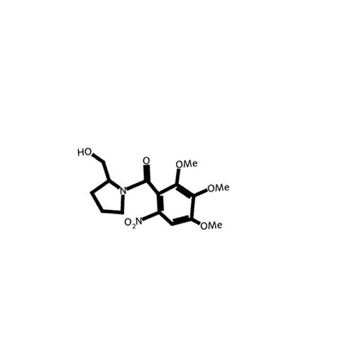 COc1cc([N+](=O)[O-])c(C(=O)N2CCCC2CO)c(OC)c1OC